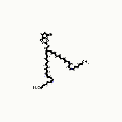 CCCCC/C=C\C/C=C\CCCCCCCCC(CCCCCCCC/C=C\C/C=C\CCCCC)COC(=O)ON1C(=O)CCC1=O